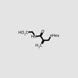 C=C(CCCCCCC)C(=O)NCC(=O)O